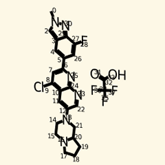 Cn1cc2cc(-c3cc(Cl)c4cc(N5CCN6CCCC6C5)cnc4n3)cc(F)c2n1.O=C(O)C(F)(F)F